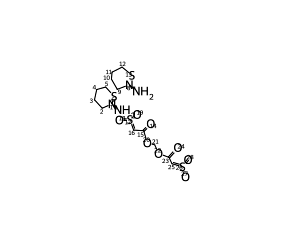 NN1CCCCS1.NN1CCCCS1.O=C(C=S(=O)=O)OCOC(=O)C=S(=O)=O